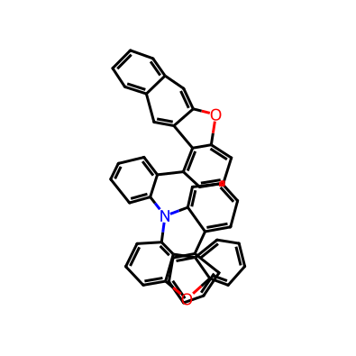 c1ccc(-c2ccccc2N(c2ccccc2-c2cccc3oc4cc5ccccc5cc4c23)c2cccc3oc4ccccc4c23)cc1